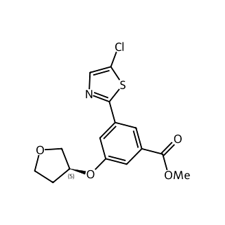 COC(=O)c1cc(O[C@H]2CCOC2)cc(-c2ncc(Cl)s2)c1